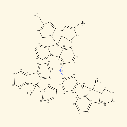 CC(C)(C)c1ccc(C2(c3ccc(C(C)(C)C)cc3)c3ccccc3-c3c(N(c4ccc(-c5cccc6c5C(C)(C)c5ccccc5-6)cc4)c4ccc5c(c4)C(C)(c4ccccc4)c4ccccc4-5)cccc32)cc1